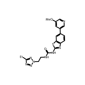 CCc1nnn(CCNC(=O)Nc2nc3ccc(-c4cncc(OC)c4)cc3s2)n1